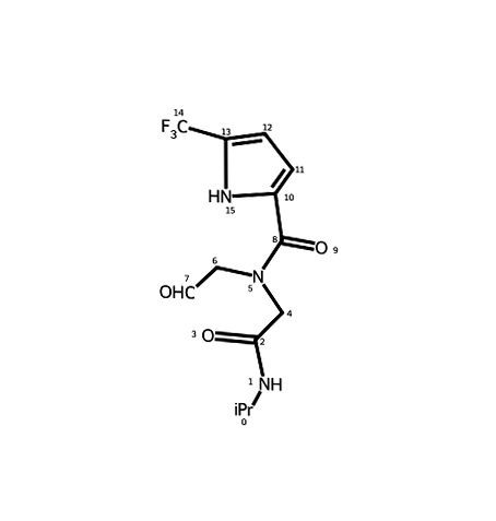 CC(C)NC(=O)CN(CC=O)C(=O)c1ccc(C(F)(F)F)[nH]1